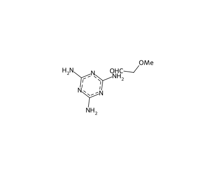 COCC=O.Nc1nc(N)nc(N)n1